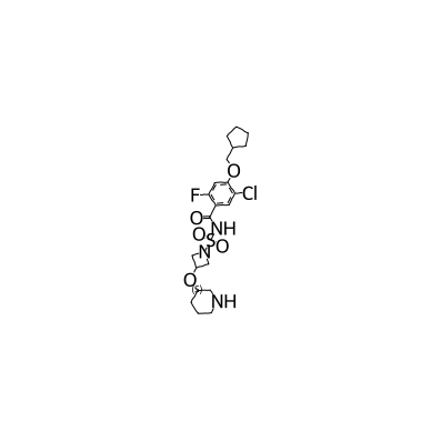 O=C(NS(=O)(=O)N1CC(O[C@H]2CCCNC2)C1)c1cc(Cl)c(OCC2CCCC2)cc1F